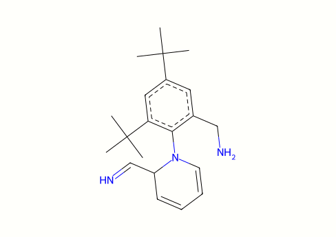 CC(C)(C)c1cc(CN)c(N2C=CC=CC2C=N)c(C(C)(C)C)c1